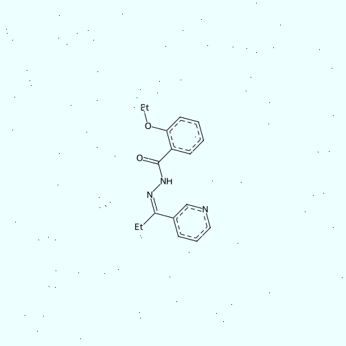 CCOc1ccccc1C(=O)NN=C(CC)c1cccnc1